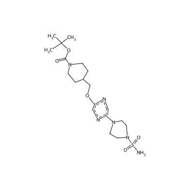 CC(C)(C)OC(=O)N1CCC(COc2cnc(N3CCN(S(N)(=O)=O)CC3)cn2)CC1